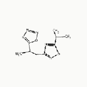 CC(C)c1nc(CC(C)c2nnno2)no1